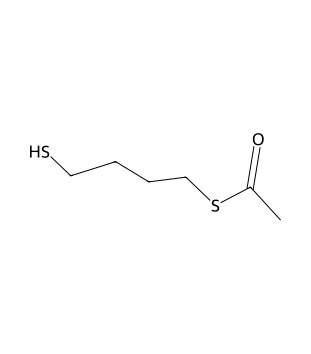 CC(=O)SCCCCS